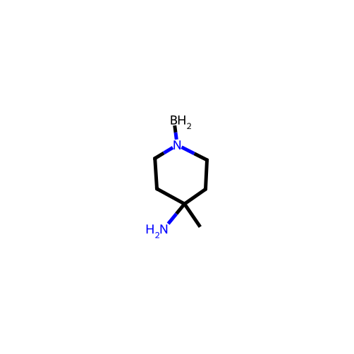 BN1CCC(C)(N)CC1